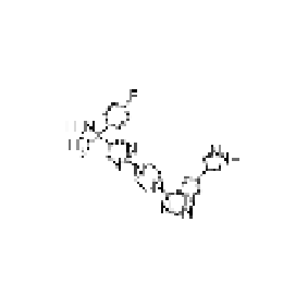 CC(N)(c1ccc(F)cc1)c1cnc(N2CCN(c3ncnn4cc(-c5cn[nH]c5)cc34)CC2)nc1